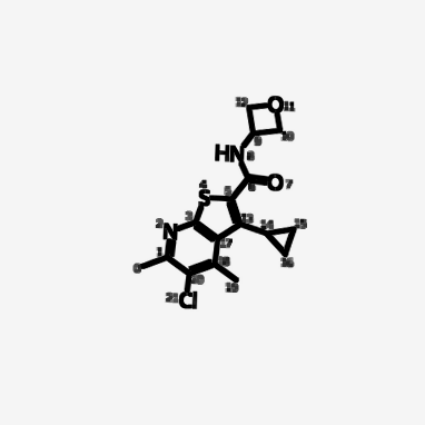 Cc1nc2sc(C(=O)NC3COC3)c(C3CC3)c2c(C)c1Cl